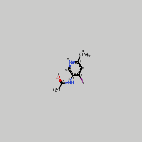 COc1cc(I)c(NC(=O)C(C)(C)C)cn1